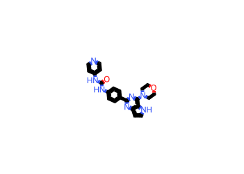 O=C(Nc1ccncc1)Nc1ccc(-c2nc(N3CCOCC3)c3[nH]ccc3n2)cc1